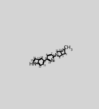 CN1CC2CN(c3ccc(-c4ccc5[nH]ccc5c4)cn3)CC21